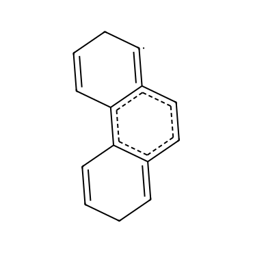 [C]1=c2ccc3c(c2C=CC1)C=CCC=3